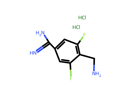 Cl.Cl.N=C(N)c1cc(F)c(CN)c(F)c1